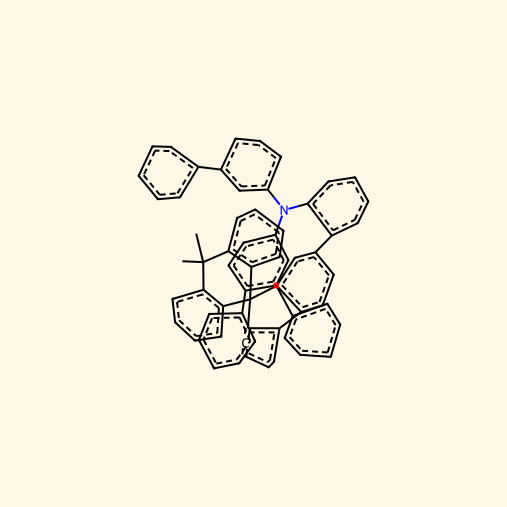 CC1(C)c2ccccc2C2(c3ccccc3-c3ccc(-c4ccccc4N(c4cccc(-c5ccccc5)c4)c4ccc(-c5ccccc5)c(-c5ccccc5)c4)cc32)c2ccccc21